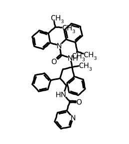 CC(C)c1ccccc1N(C(=O)NC(C)(CC(CNC(=O)c1ccccn1)c1ccccc1)c1ccccc1)c1ccccc1C(C)C